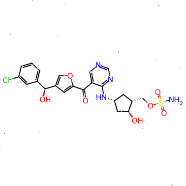 NS(=O)(=O)OC[C@H]1C[C@@H](Nc2ncncc2C(=O)c2cc([C@@H](O)c3cccc(Cl)c3)co2)C[C@@H]1O